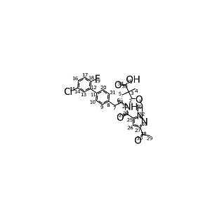 COCC(C)(C[C@@H](Cc1ccc(-c2cc(Cl)ccc2F)cc1)NC(=O)c1cc(C(C)=O)n[nH]1)C(=O)O